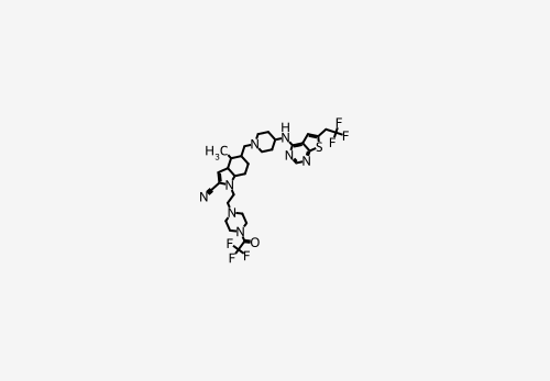 CC1C(CN2CCC(Nc3ncnc4sc(CC(F)(F)F)cc34)CC2)CCC2C1C=C(C#N)N2CCN1CCN(C(=O)C(F)(F)F)CC1